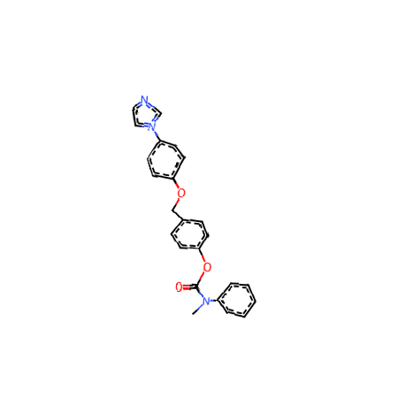 CN(C(=O)Oc1ccc(COc2ccc(-n3ccnc3)cc2)cc1)c1ccccc1